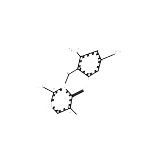 N#Cc1cc(F)ccc1Cn1c(Cl)ncc(F)c1=O